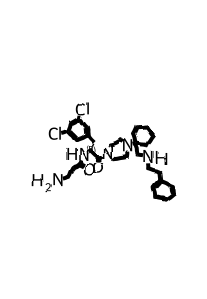 NCCC(=O)N[C@H](Cc1cc(Cl)cc(Cl)c1)C(=O)N1CCN(C2(CNCCc3ccccc3)CCCCC2)CC1